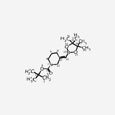 CC(C)(C)OC(=O)N1CCC/C(=C\B2OC(C)(C)C(C)(C)O2)C1